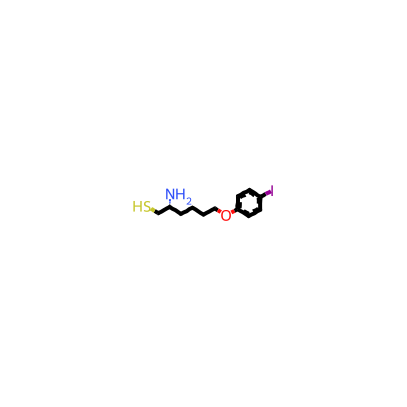 N[C@@H](CS)CCCCOc1ccc(I)cc1